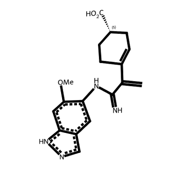 C=C(C(=N)Nc1cc2cn[nH]c2cc1OC)C1=CC[C@@H](C(=O)O)CC1